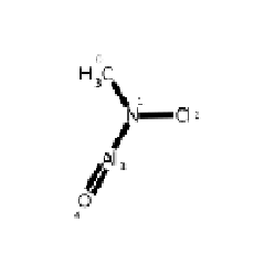 C[N](Cl)[Al]=[O]